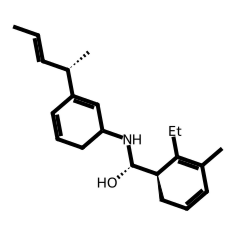 C/C=C/[C@H](C)C1=CC(N[C@@H](O)[C@@H]2CC=CC(C)=C2CC)CC=C1